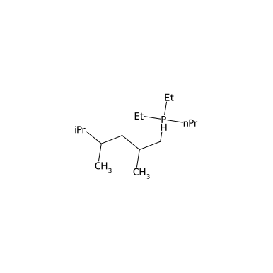 CCC[PH](CC)(CC)CC(C)CC(C)C(C)C